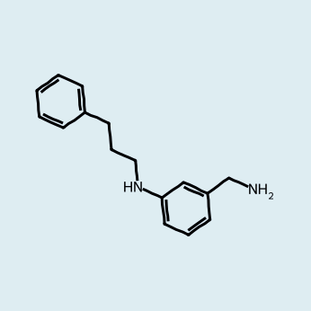 NCc1cccc(NCCCc2ccccc2)c1